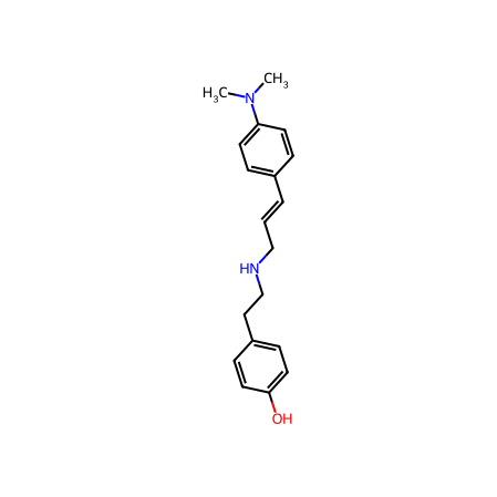 CN(C)c1ccc(/C=C/CNCCc2ccc(O)cc2)cc1